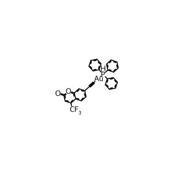 O=c1cc(C(F)(F)F)c2ccc(C#[C][Au][PH](c3ccccc3)(c3ccccc3)c3ccccc3)cc2o1